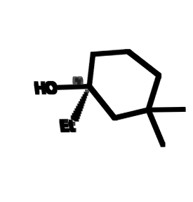 CC[C@]1(O)CCCC(C)(C)C1